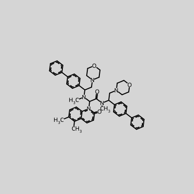 Cc1ccc2c(ccc(=O)n2C(C(=O)N(C)C(CN2CCOCC2)c2ccc(-c3ccccc3)cc2)N(C)C(CN2CCOCC2)c2ccc(-c3ccccc3)cc2)c1C